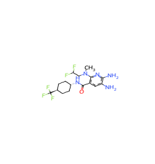 CN(CC(F)F)c1nc(N)c(N)cc1C(=O)N[C@H]1CC[C@H](C(F)(F)F)CC1